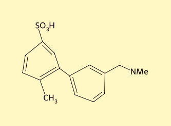 CNCc1cccc(-c2cc(S(=O)(=O)O)ccc2C)c1